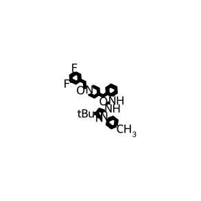 Cc1ccc(-n2nc(C(C)(C)C)cc2NC(=O)Nc2ccccc2CC2CCN(C(=O)Cc3cc(F)cc(F)c3)CC2)cc1